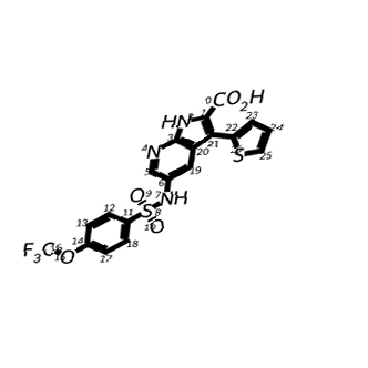 O=C(O)c1[nH]c2ncc(NS(=O)(=O)c3ccc(OC(F)(F)F)cc3)cc2c1-c1cccs1